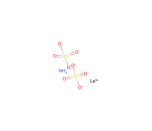 O=S(=O)([O-])[O-].O=S(=O)([O-])[O-].[La+3].[NH4+]